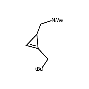 CNCC1C=C1CC(C)(C)C